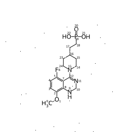 COc1ccc(F)c2c1NCN=C2N1CCC(CCP(=O)(O)O)CC1